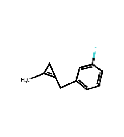 CC1=C(Cc2cccc(F)c2)C1